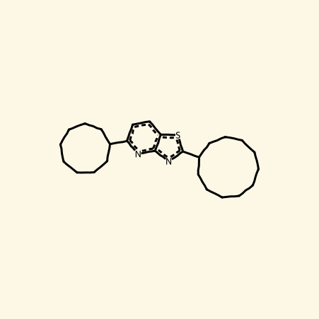 c1cc2sc(C3CCCCCCCCCC3)nc2nc1C1CCCCCCCC1